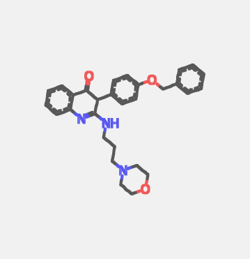 O=C1c2ccccc2N=C(NCCCN2CCOCC2)C1c1ccc(OCc2ccccc2)cc1